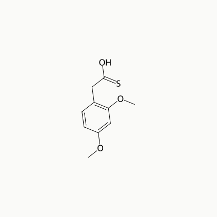 COc1ccc(CC(O)=S)c(OC)c1